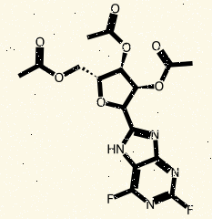 CC(=O)OC[C@H]1OC(c2nc3nc(F)nc(F)c3[nH]2)[C@H](OC(C)=O)[C@@H]1OC(C)=O